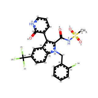 CS(=O)(=O)NC(=O)c1c(-c2ccc[nH]c2=O)c2cc(C(F)(F)F)ccc2n1Cc1ccccc1F